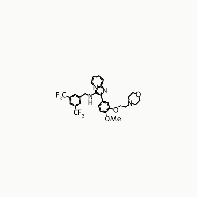 COc1ccc(-c2nc3ccccn3c2NCc2cc(C(F)(F)F)cc(C(F)(F)F)c2)cc1OCCN1CCOCC1